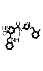 Cc1ccccc1Cn1cc(NC(=O)c2c[nH]c(=O)c(C3Cc4ccccc4N3)c2)cn1